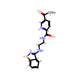 COC(=O)c1ccc(C(=O)NCCNc2nsc3ccccc23)nc1